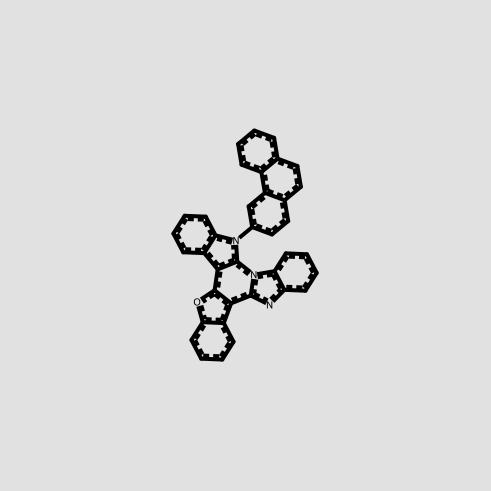 c1ccc2c(c1)ccc1ccc(-n3c4ccccc4c4c5oc6ccccc6c5c5nc6ccccc6n5c43)cc12